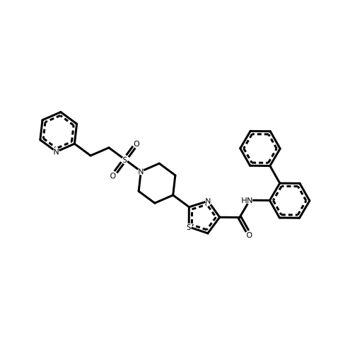 O=C(Nc1ccccc1-c1ccccc1)c1csc(C2CCN(S(=O)(=O)CCc3ccccn3)CC2)n1